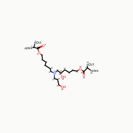 CCCCCCCCC(CCCCCC)C(=O)OCCCCCCN(CCCO)C[C@@H](O)CCCCOC(=O)C(CCCCCC)CCCCCCCC